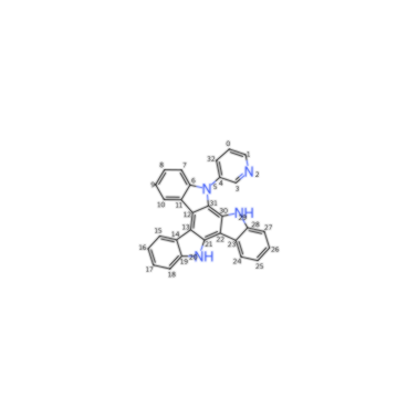 c1cncc(-n2c3ccccc3c3c4c5ccccc5[nH]c4c4c5ccccc5[nH]c4c32)c1